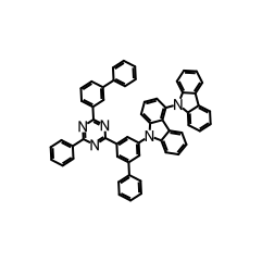 c1ccc(-c2cccc(-c3nc(-c4ccccc4)nc(-c4cc(-c5ccccc5)cc(-n5c6ccccc6c6c(-n7c8ccccc8c8ccccc87)cccc65)c4)n3)c2)cc1